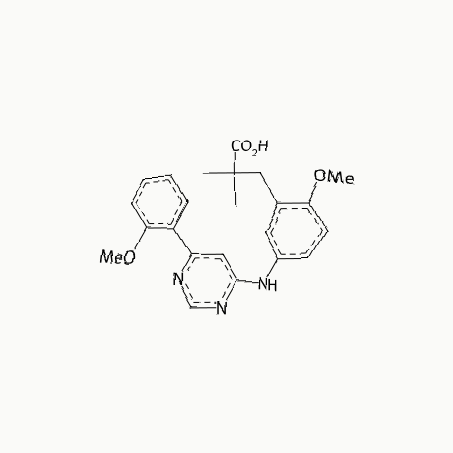 COc1ccc(Nc2cc(-c3ccccc3OC)ncn2)cc1CC(C)(C)C(=O)O